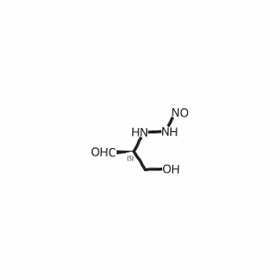 O=C[C@H](CO)NNN=O